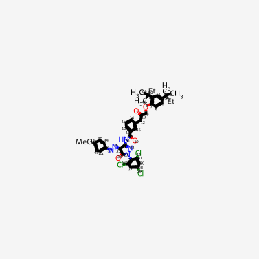 CCC(C)(C)c1ccc(OCC(=O)Cc2cccc(C(=O)NC3=NN(c4c(Cl)cc(Cl)cc4Cl)C(=O)C3/N=N/c3ccc(OC)cc3)c2)c(C(C)(C)CC)c1